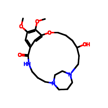 COc1cc2cc(c1OC)OCCCC(O)CCN1CCCN(CCCNC2=O)CC1